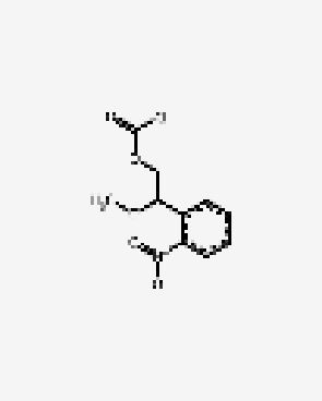 COC(COC(=O)Cl)c1ccccc1[N+](=O)[O-]